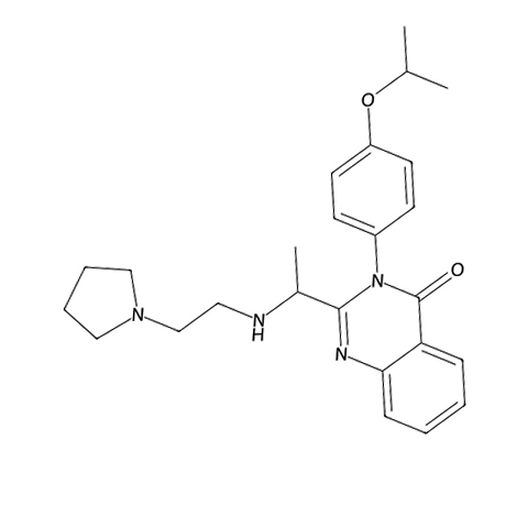 CC(C)Oc1ccc(-n2c(C(C)NCCN3CCCC3)nc3ccccc3c2=O)cc1